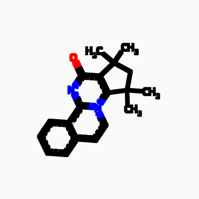 CC1(C)CC(C)(C)c2c1c(=O)nc1c3ccccc3ccn21